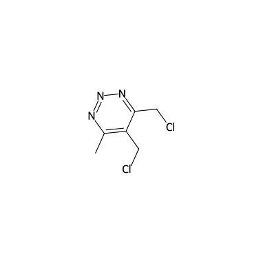 Cc1nnnc(CCl)c1CCl